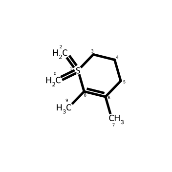 C=S1(=C)CCCC(C)=C1C